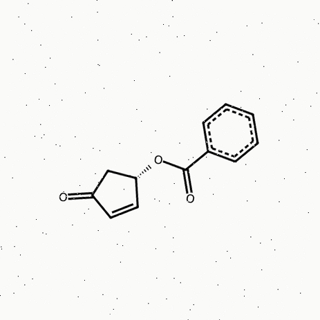 O=C1C=C[C@@H](OC(=O)c2ccccc2)C1